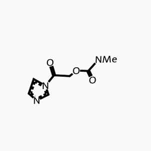 CNC(=O)OCC(=O)n1ccnc1